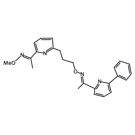 CO/N=C(\C)c1cccc(CCCO/N=C(\C)c2cccc(-c3ccccc3)n2)n1